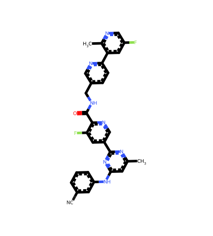 Cc1cc(Nc2cccc(C#N)c2)nc(-c2cnc(C(=O)NCc3ccc(-c4cc(F)cnc4C)nc3)c(F)c2)n1